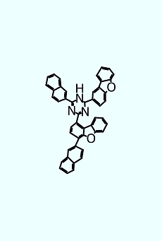 c1ccc2cc(C3=NC(c4ccc(-c5ccc6ccccc6c5)c5oc6ccccc6c45)=NC(c4ccc5oc6ccccc6c5c4)N3)ccc2c1